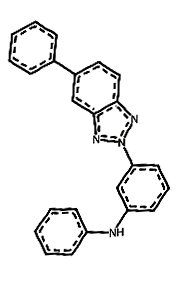 c1ccc(Nc2cccc(-n3nc4ccc(-c5ccccc5)cc4n3)c2)cc1